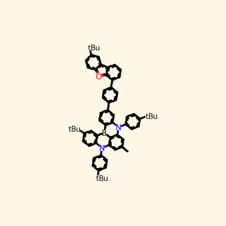 Cc1cc2c3c(c1)N(c1ccc(C(C)(C)C)cc1)c1cc(-c4ccc(-c5cccc6c5oc5ccc(C(C)(C)C)cc56)cc4)ccc1B3c1cc(C(C)(C)C)ccc1N2c1ccc(C(C)(C)C)cc1